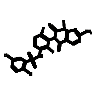 Cn1c(=O)n(-c2c(F)ccc(NS(=O)(=O)c3cc(Cl)ccc3Cl)c2F)c(=O)c2cnc(N)nc21